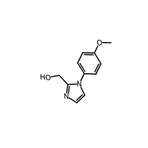 COc1ccc(-n2ccnc2CO)cc1